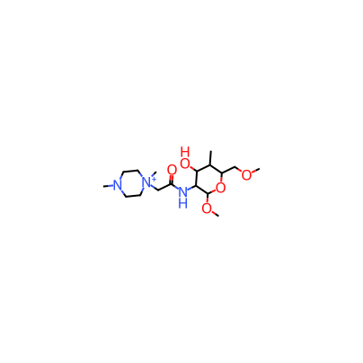 COCC1OC(OC)C(NC(=O)C[N+]2(C)CCN(C)CC2)C(O)C1C